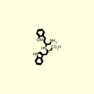 COc1ccccc1CCC(CN)N[C@@H](CC(=O)O)Cc1c[nH]c2ccccc12